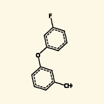 [CH]c1cccc(Oc2cccc(F)c2)c1